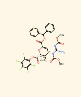 CC(=O)N[C@H]1[C@H](C(=O)Oc2c(F)c(F)c(F)c(F)c2F)OC(C(=O)OC(c2ccccc2)c2ccccc2)=C[C@@H]1N(C(=O)OC(C)(C)C)C(N)=NC(=O)OC(C)(C)C